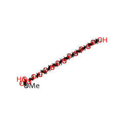 COC(=O)C(O)OCCOCCOCCOCCOCCOCCOCCOCCOCCOCCOCCOCCO